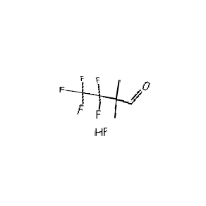 CC(C)(C=O)C(F)(F)C(F)(F)F.F